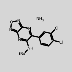 CC(C)(C)Nc1nc2nonc2nc1-c1ccc(Cl)c(Cl)c1.N